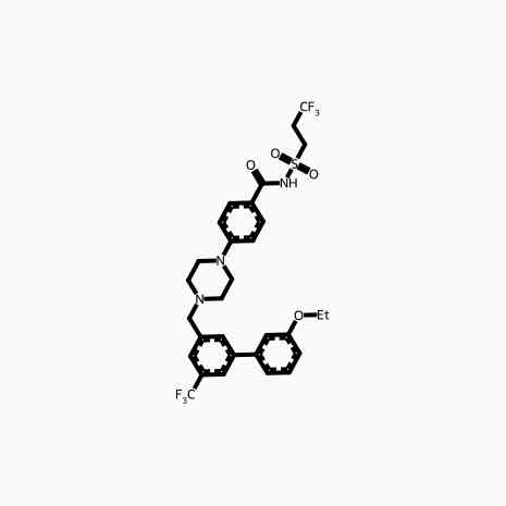 CCOc1cccc(-c2cc(CN3CCN(c4ccc(C(=O)NS(=O)(=O)CCC(F)(F)F)cc4)CC3)cc(C(F)(F)F)c2)c1